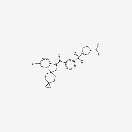 O=C(c1cccc(S(=O)(=O)N2CCC(C(F)F)C2)c1)N1CC2(CCC3(CC3)CC2)c2cc(Br)ccc21